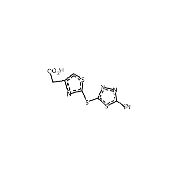 CC(C)c1nnc(Sc2nc(CC(=O)O)cs2)s1